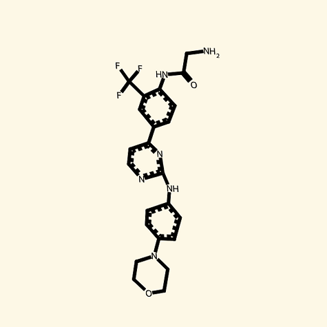 NCC(=O)Nc1ccc(-c2ccnc(Nc3ccc(N4CCOCC4)cc3)n2)cc1C(F)(F)F